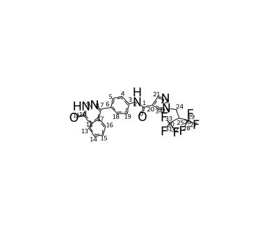 O=C(Nc1ccc(-c2n[nH]c(=O)c3ccccc23)cc1)c1cnn(CC(C(F)(F)F)C(F)(F)F)c1